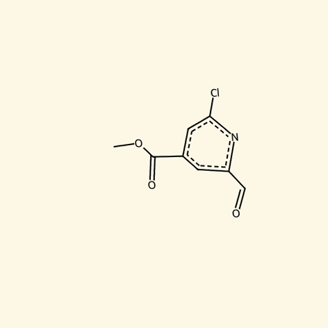 COC(=O)c1cc(Cl)nc(C=O)c1